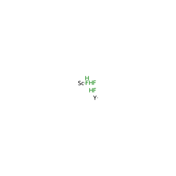 F.F.F.[Sc].[Y]